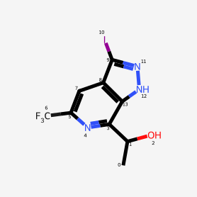 CC(O)c1nc(C(F)(F)F)cc2c(I)n[nH]c12